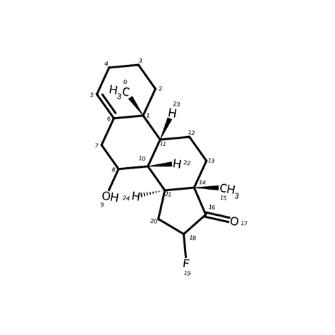 C[C@]12CCCC=C1CC(O)[C@@H]1[C@H]2CC[C@]2(C)C(=O)C(F)C[C@@H]12